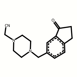 N#CCN1CCN(Cc2ccc3c(c2)C(=O)CC3)CC1